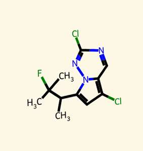 CC(c1cc(Cl)c2cnc(Cl)nn12)C(C)(C)F